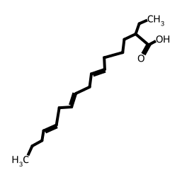 CCCC=CCC=CCC=CCCCC(CC)C(=O)O